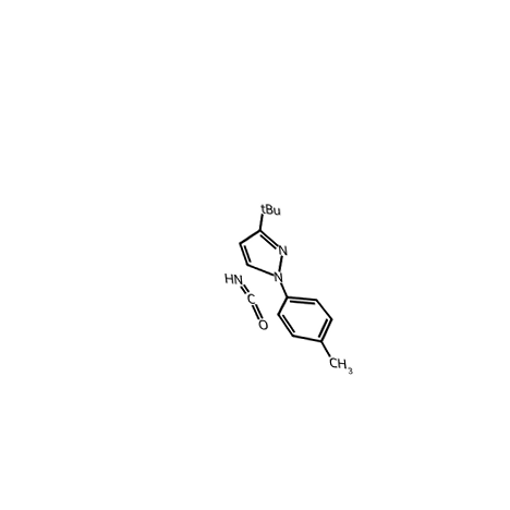 Cc1ccc(-n2ccc(C(C)(C)C)n2)cc1.N=C=O